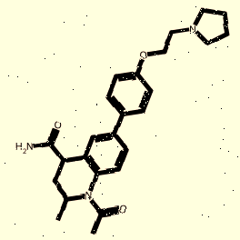 CC(=O)N1c2ccc(-c3ccc(OCCN4CCCC4)cc3)cc2C(C(N)=O)CC1C